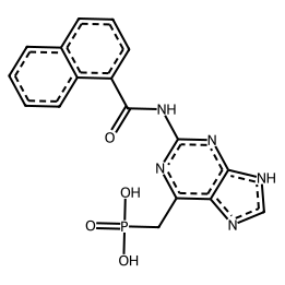 O=C(Nc1nc(CP(=O)(O)O)c2nc[nH]c2n1)c1cccc2ccccc12